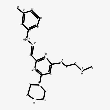 CNCCOc1cc(N2CCOCC2)nc(C=NNc2cccc(C)c2)n1